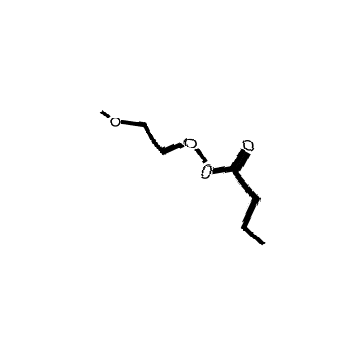 CCCC(=O)OOCCOC